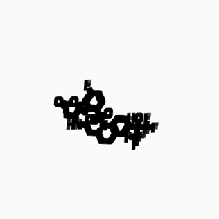 CC1(C)OC(=O)CC1NC(=O)CC1CCc2cc(C(O)(C(F)(F)F)C(F)(F)F)ccc2N1S(=O)(=O)c1ccc(F)cc1